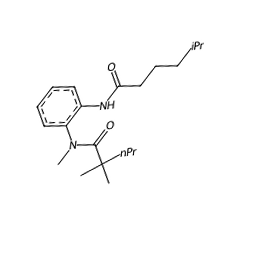 CCCC(C)(C)C(=O)N(C)c1ccccc1NC(=O)CCCC(C)C